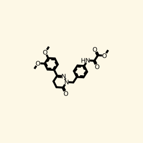 COC(=O)C(=O)Nc1ccc(CN2N=C(c3ccc(OC)c(OC)c3)CCC2=O)cc1